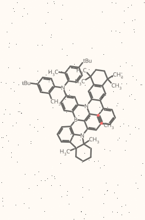 Cc1cc2c3c(c1)N1c4c(cccc4C4(C)CCCCC14C)B3c1ccc(N(c3ccc(C(C)(C)C)cc3C)c3ccc(C(C)(C)C)cc3C)cc1N2c1cc2c(cc1-c1ccccc1)C(C)(C)CCC2(C)C